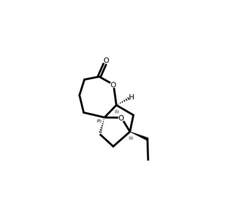 CC[C@]12CC[C@@]3(CCCC(=O)O[C@H]3C1)O2